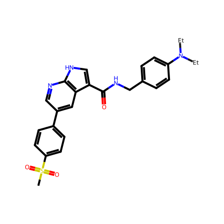 CCN(CC)c1ccc(CNC(=O)c2c[nH]c3ncc(-c4ccc(S(C)(=O)=O)cc4)cc23)cc1